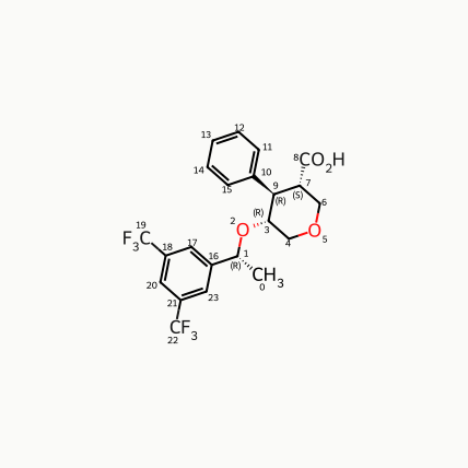 C[C@@H](O[C@H]1COC[C@@H](C(=O)O)[C@@H]1c1ccccc1)c1cc(C(F)(F)F)cc(C(F)(F)F)c1